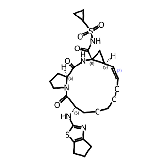 O=C1N[C@]2(C(=O)NS(=O)(=O)C3CC3)C[C@H]2/C=C\CCCCC[C@H](Nc2nc3c(s2)CCC3)C(=O)N2CCC[C@@H]12